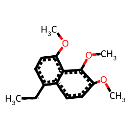 C[CH]c1ccc(OC)c2c(OC)c(OC)ccc12